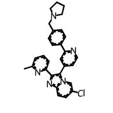 Cc1cccc(-c2nc3ccc(Cl)cn3c2-c2ccnc(-c3ccc(CN4CCCC4)cc3)c2)n1